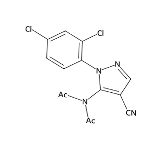 CC(=O)N(C(C)=O)c1c(C#N)cnn1-c1ccc(Cl)cc1Cl